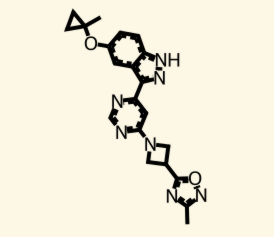 Cc1noc(C2CN(c3cc(-c4n[nH]c5ccc(OC6(C)CC6)cc45)ncn3)C2)n1